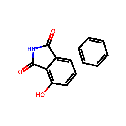 O=C1NC(=O)c2c(O)cccc21.c1ccccc1